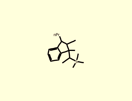 CCCC1c2ccccc2C(C)(C(C)S(C)(C)C)C1C